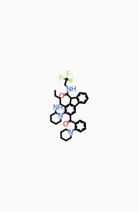 CCCCc1c2c(cc(C(=O)c3ccccc3N3CCCCC3)c1N1CCCCC1N)-c1ccccc1C2C(=O)NCC(F)(F)F